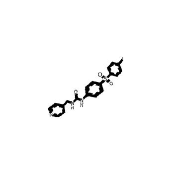 O=C(NCc1ccncc1)Nc1ccc(S(=O)(=O)c2ccc(I)cc2)cc1